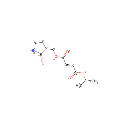 CC(C)OC(=O)/C=C/C(=O)OCC1CCNC1=O